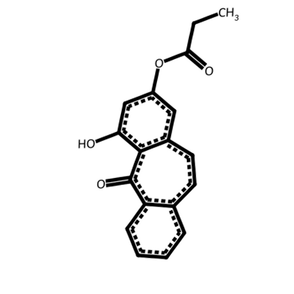 CCC(=O)Oc1cc(O)c2c(=O)c3ccccc3ccc2c1